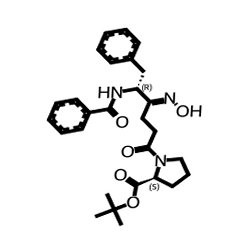 CC(C)(C)OC(=O)[C@@H]1CCCN1C(=O)CCC(=NO)[C@@H](Cc1ccccc1)NC(=O)c1ccccc1